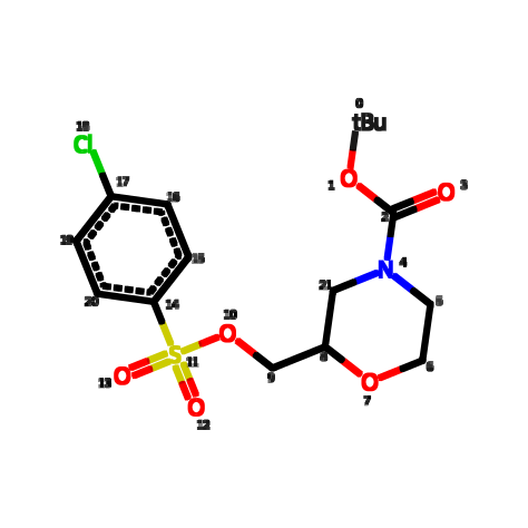 CC(C)(C)OC(=O)N1CCOC(COS(=O)(=O)c2ccc(Cl)cc2)C1